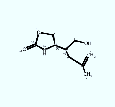 C=C(C)C[C@H](CO)[C@@H]1COC(=O)N1